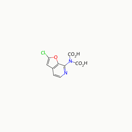 O=C(O)N(C(=O)O)c1nccc2cc(Cl)oc12